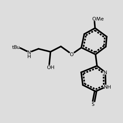 COc1ccc(-c2ccc(=S)[nH]n2)c(OCC(O)CNC(C)(C)C)c1